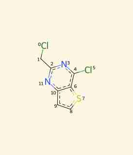 ClCc1nc(Cl)c2sccc2n1